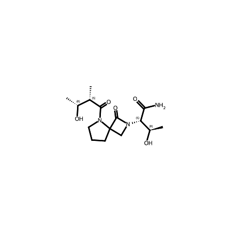 C[C@H](C(=O)N1CCCC12CN([C@H](C(N)=O)[C@@H](C)O)C2=O)[C@@H](C)O